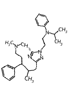 CC(Cc1ncn(CCN(c2ccccc2)C(C)C)n1)C(CCN(C)C)c1ccccc1